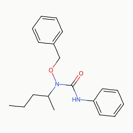 CCCC(C)N(OCc1ccccc1)C(=O)Nc1ccccc1